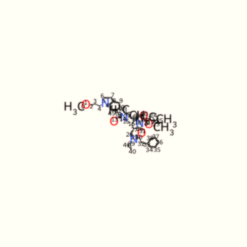 COCCCn1ccc2ccc(C(=O)N(C[C@@H]3CN(C(=O)OC(C)(C)C)C[C@H]3CN(C(=O)Cc3ccccc3)C3CC3)C(C)C)cc21